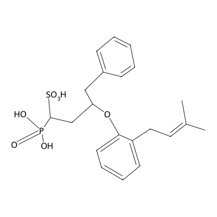 CC(C)=CCc1ccccc1OC(Cc1ccccc1)CC(P(=O)(O)O)S(=O)(=O)O